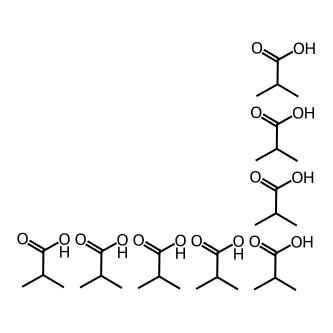 CC(C)C(=O)O.CC(C)C(=O)O.CC(C)C(=O)O.CC(C)C(=O)O.CC(C)C(=O)O.CC(C)C(=O)O.CC(C)C(=O)O.CC(C)C(=O)O